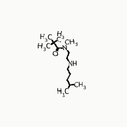 CC(C)CCCNCCN(C)C(=O)C(C)(C)C